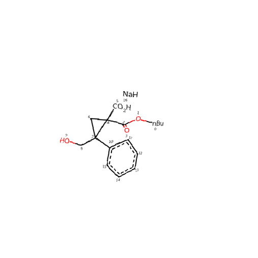 CCCCOC(=O)C1(C(=O)O)CC1(CO)c1ccccc1.[NaH]